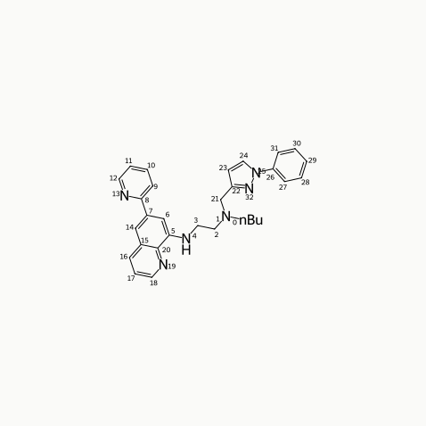 CCCCN(CCNc1cc(-c2ccccn2)cc2cccnc12)Cc1ccn(-c2ccccc2)n1